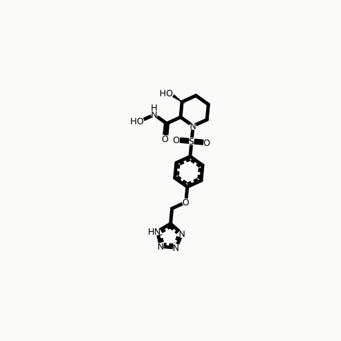 O=C(NO)C1[C@@H](O)CCCN1S(=O)(=O)c1ccc(OCc2nnn[nH]2)cc1